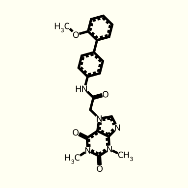 COc1ccccc1-c1ccc(NC(=O)Cn2cnc3c2c(=O)n(C)c(=O)n3C)cc1